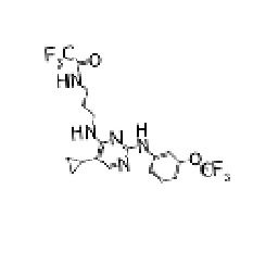 O=C(NCCCNc1nc(Nc2cccc(OC(F)(F)F)c2)ncc1C1CC1)C(F)(F)F